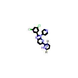 Clc1cc(Cl)cc(-c2nc3ccc(N4C[C@H]5CC[C@@H]4CN5)nc3n2-c2ccncc2)c1